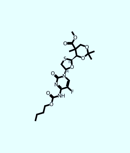 CCCCOC(=O)Nc1nc(=O)n([C@H]2CS[C@@H](C3OC(C)(C)OCC3(C)C(=O)OC)O2)cc1F